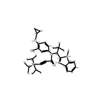 CC(C)[Si](C#CC(=O)N(c1ccc(OC2CC2)c(Cl)c1)C(c1nc2ccccc2n1C)C(C)(C)C)(C(C)C)C(C)C